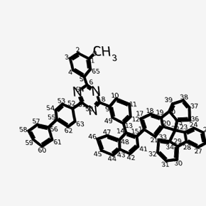 Cc1cccc(-c2nc(-c3cccc(-c4c(-c5ccc6c(c5)C5(c7ccccc7-c7ccccc75)c5ccccc5-6)ccc5ccccc45)c3)nc(C3C=CC(c4ccccc4)=CC3)n2)c1